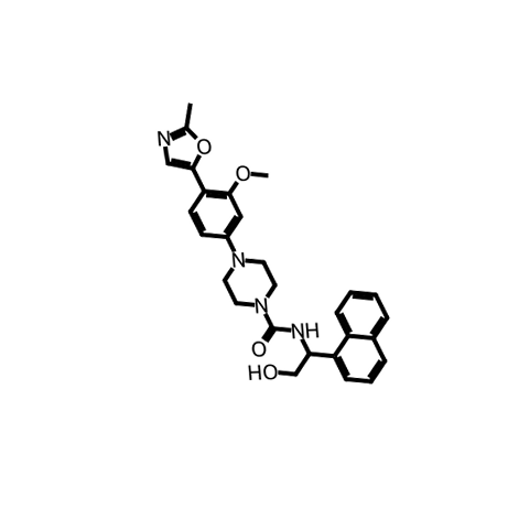 COc1cc(N2CCN(C(=O)NC(CO)c3cccc4ccccc34)CC2)ccc1-c1cnc(C)o1